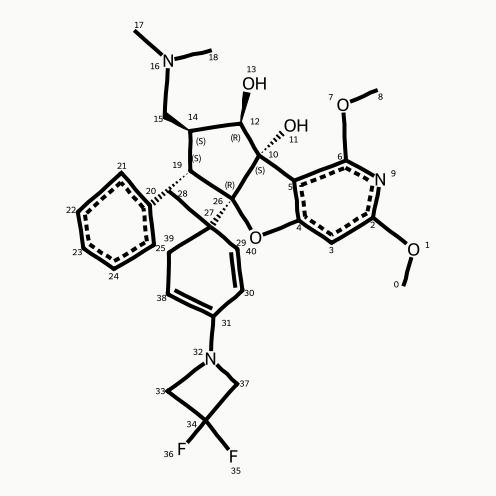 COc1cc2c(c(OC)n1)[C@]1(O)[C@H](O)[C@H](CN(C)C)[C@@H](c3ccccc3)[C@]1(C1(C)C=CC(N3CC(F)(F)C3)=CC1)O2